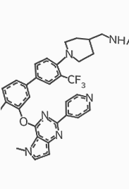 CC(=O)NCC1CCN(c2ccc(-c3ccc(C)c(Oc4nc(-c5ccncc5)nc5ccn(C)c45)c3)cc2C(F)(F)F)CC1